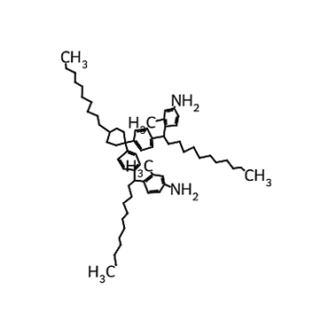 CCCCCCCCCCCC(c1ccc(C2(c3ccc(C(CCCCCCCCCCC)c4ccc(N)cc4C)cc3)CCC(CCCCCCCCCC)CC2)cc1)c1ccc(N)cc1C